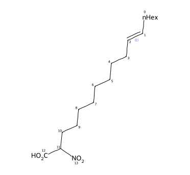 CCCCCC/C=C/CCCCCCCCC(C(=O)O)[N+](=O)[O-]